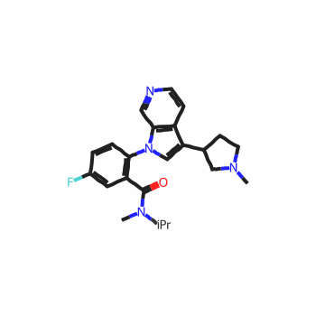 CC(C)N(C)C(=O)c1cc(F)ccc1-n1cc(C2CCN(C)C2)c2ccncc21